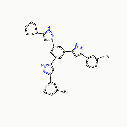 Cc1cccc(-c2cc(-c3cc(-c4cc(-c5ccccc5)[nH]n4)cc(-c4cc(-c5cccc(C)c5)n[nH]4)c3)[nH]n2)c1